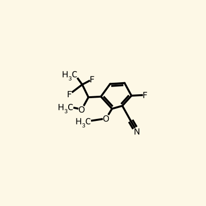 COc1c(C(OC)C(C)(F)F)ccc(F)c1C#N